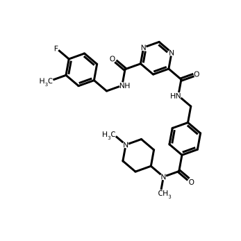 Cc1cc(CNC(=O)c2cc(C(=O)NCc3ccc(C(=O)N(C)C4CCN(C)CC4)cc3)ncn2)ccc1F